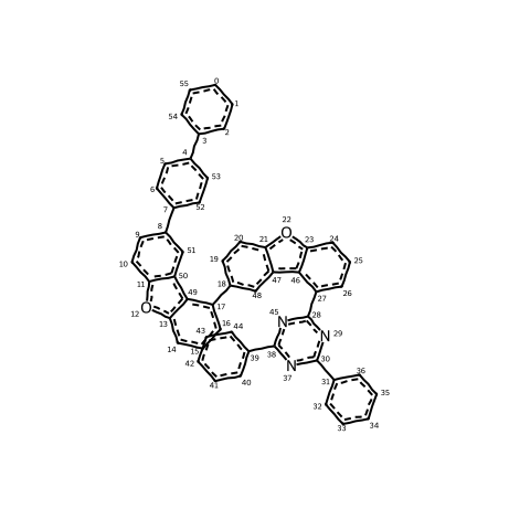 c1ccc(-c2ccc(-c3ccc4oc5cccc(-c6ccc7oc8cccc(-c9nc(-c%10ccccc%10)nc(-c%10ccccc%10)n9)c8c7c6)c5c4c3)cc2)cc1